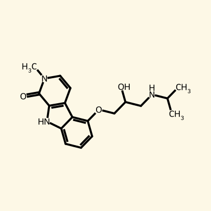 CC(C)NCC(O)COc1cccc2[nH]c3c(=O)n(C)ccc3c12